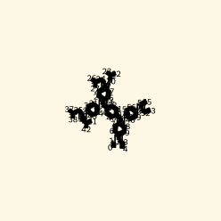 C=CN(C=C)c1ccc([N+](=C2C=CC(=[N+](c3ccc(N(CC(C)C)CC(C)C)cc3)c3ccc(N(CC(C)C)CC(C)C)cc3)C=C2)c2ccc(N(C=C)C=C)cc2)cc1